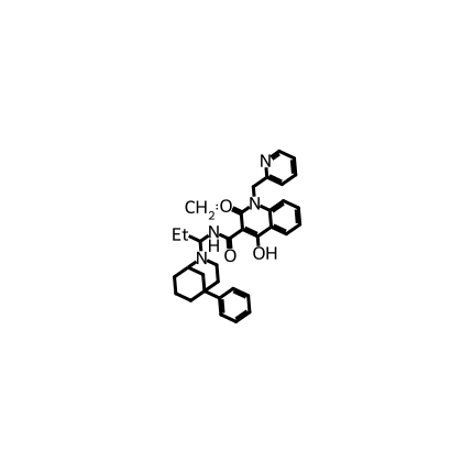 CCC(NC(=O)c1c(O)c2ccccc2n(Cc2ccccn2)c1=O)N1CCC2(c3ccccc3)CCCC1C2.[CH2]